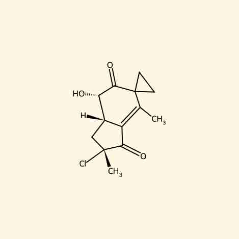 CC1=C2C(=O)[C@](C)(Cl)C[C@@H]2[C@H](O)C(=O)C12CC2